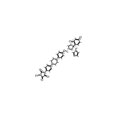 CCN1C(=O)C(=O)N(c2ccc(N3CCN(c4ccc(OC[C@@H]5CO[C@@](Cn6ccnc6)(c6ccc(Cl)cc6Cl)O5)cc4)CC3)cc2)C1=O